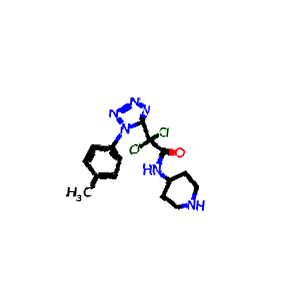 Cc1ccc(-n2nnnc2C(Cl)(Cl)C(=O)NC2CCNCC2)cc1